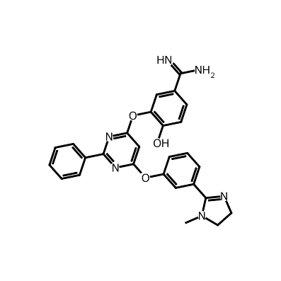 CN1CCN=C1c1cccc(Oc2cc(Oc3cc(C(=N)N)ccc3O)nc(-c3ccccc3)n2)c1